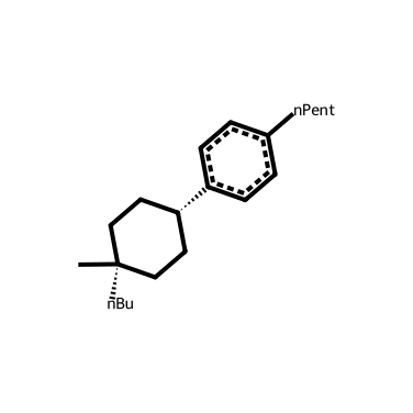 CCCCCc1ccc([C@H]2CC[C@@](C)(CCCC)CC2)cc1